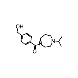 CC(C)N1CCCN(C(=O)c2ccc(CO)cc2)CC1